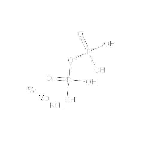 N.O=P(O)(O)OP(=O)(O)O.[Mn].[Mn]